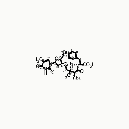 CCCCC(C(=O)NC(Cc1ccccc1)C(=O)O)C(C)(C)COC1CC(n2cc(C)c(=O)[nH]c2=O)OC1CC(C)(C)C